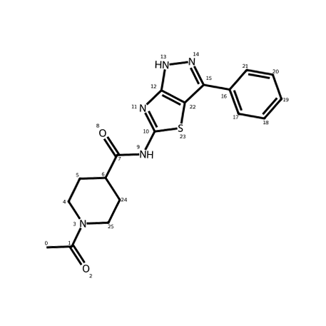 CC(=O)N1CCC(C(=O)Nc2nc3[nH]nc(-c4ccccc4)c3s2)CC1